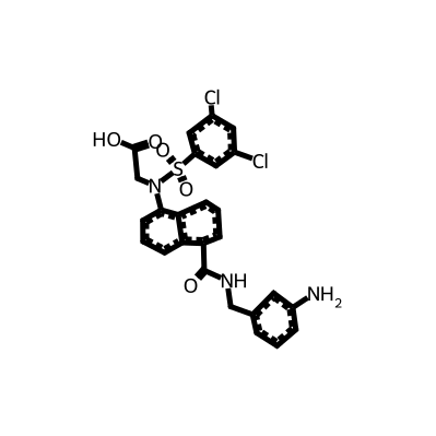 Nc1cccc(CNC(=O)c2cccc3c(N(CC(=O)O)S(=O)(=O)c4cc(Cl)cc(Cl)c4)cccc23)c1